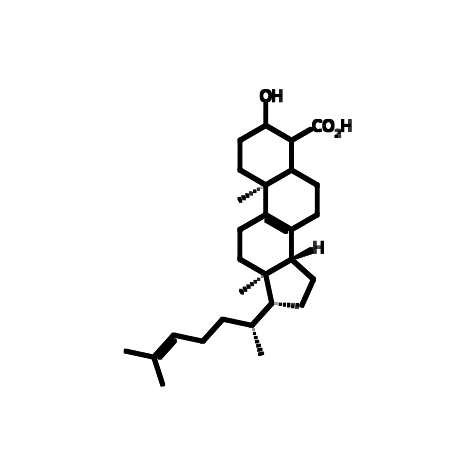 CC(C)=CCC[C@@H](C)[C@H]1CC[C@H]2C3=C(CC[C@]12C)[C@@]1(C)CCC(O)C(C(=O)O)C1CC3